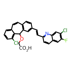 O=C(O)COC1c2cc(C=Cc3ccc4cc(F)c(Cl)cc4n3)ccc2C=Cc2cccc(Cl)c21